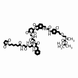 CN(CCOCCc1ccc(NC(=O)NCc2ccc3c(c2)CN(C2CCC(=O)N(CNC(=O)CNC(=O)C(Cc4ccccc4)NC(=O)CNC(=O)CNC(=O)CCCCCN4C(=O)CCC4=O)C2=O)C3=O)cc1Cl)C(=O)OC(C)(C)C